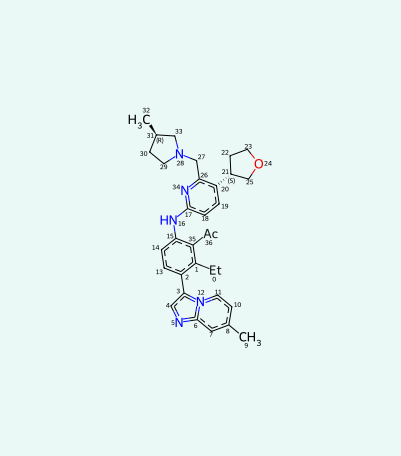 CCc1c(-c2cnc3cc(C)ccn23)ccc(Nc2ccc([C@@H]3CCOC3)c(CN3CC[C@@H](C)C3)n2)c1C(C)=O